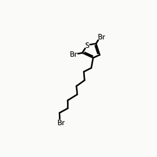 BrCCCCCCCCc1cc(Br)sc1Br